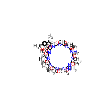 CC[C@H]1NC(=O)C([C@@H](O)[C@@H](C)C/C=C(/C)c2ccc(C)cc2)N(C)C(=O)[C@@H](C(C)C)N(C)C(=O)[C@@H](CC(C)C)N(C)C(=O)[C@@H](CC(C)C)N(C)C(=O)[C@@H](C)NC(=O)[C@@H](C)NC(=O)[C@@H](CC(C)C)N(C)C(=O)[C@@H](C(C)C)NC(=O)[C@@H](CC(C)C)N(C)C(=O)CN(C)C1=O